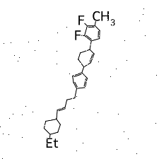 CCC1CCC(/C=C/CCc2ccc(C3C=CC(c4ccc(C)c(F)c4F)CC3)cc2)CC1